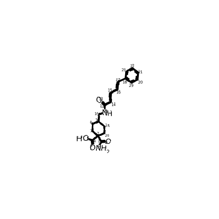 NC(=O)C1(C(=O)O)CCC(CNC(=O)/C=C/C=C/c2ccccc2)CC1